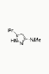 CNc1cc(C(C)C)[nH]n1